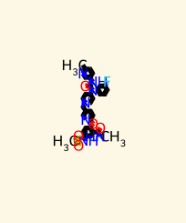 CNC(=O)c1cc(NS(C)(=O)=O)ccc1Oc1ccc(CN2CCC(N(C(=O)Nc3ccc(C)nc3)c3cccc(F)c3)CC2)cn1